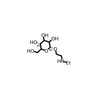 CCNCCO[C@@H]1OC(CO)[C@H](O)C(O)C1O